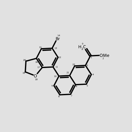 C=C(OC)c1ccc2cccc(-c3cc(Br)cc4c3OCC4)c2c1